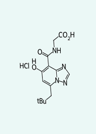 CC(C)(C)Cc1cc(O)c(C(=O)NCC(=O)O)c2ncnn12.Cl